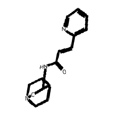 O=C(C=Cc1ccccn1)NC1CN2CCC1CC2